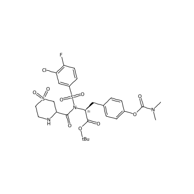 CN(C)C(=O)Oc1ccc(C[C@@H](C(=O)OC(C)(C)C)N(C(=O)C2CS(=O)(=O)CCN2)S(=O)(=O)c2ccc(F)c(Cl)c2)cc1